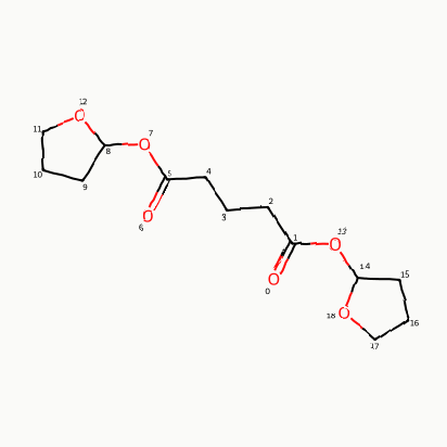 O=C(CCCC(=O)OC1CCCO1)OC1CCCO1